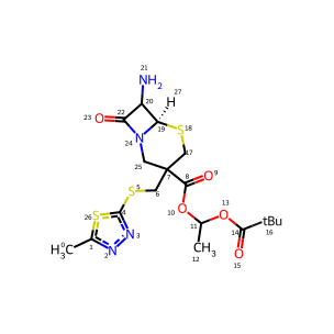 Cc1nnc(SCC2(C(=O)OC(C)OC(=O)C(C)(C)C)CS[C@@H]3C(N)C(=O)N3C2)s1